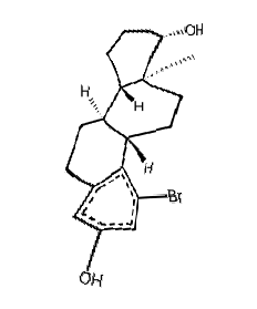 C[C@]12CC[C@@H]3c4c(Br)cc(O)cc4CC[C@H]3[C@@H]1CC[C@@H]2O